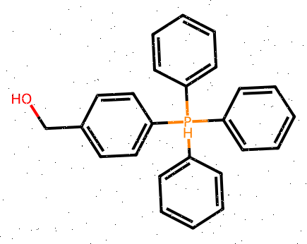 OCc1ccc([PH](c2ccccc2)(c2ccccc2)c2ccccc2)cc1